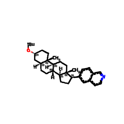 CC(C)(C)O[C@@H]1CC[C@@]2(C)[C@@H](CC[C@@H]3[C@@H]2CC[C@]2(C)[C@@H](c4ccc5cnccc5c4)CC[C@@H]32)C1